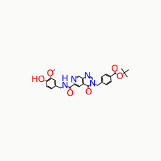 COc1cc(CNC(=O)c2cc3c(=O)n(Cc4ccc(C(=O)OC(C)(C)C)cc4)cnc3cn2)ccc1O